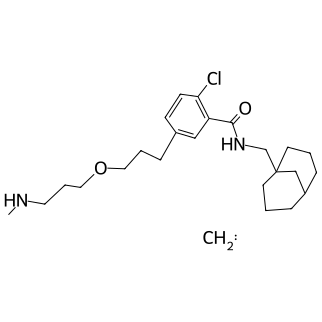 CNCCCOCCCc1ccc(Cl)c(C(=O)NCC23CCCC(CCC2)C3)c1.[CH2]